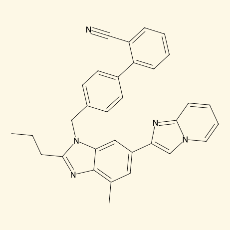 CCCc1nc2c(C)cc(-c3cn4ccccc4n3)cc2n1Cc1ccc(-c2ccccc2C#N)cc1